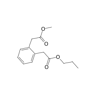 CCCOC(=O)Cc1ccccc1CC(=O)OC